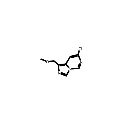 COCc1ncn2cnc(Cl)cc12